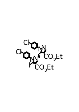 C=Cc1c(C(=O)OCC)cnn1-c1ccc(Cl)cc1.CCOC(=O)c1cnn(-c2ccc(Cl)cc2)c1I